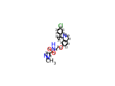 Cn1cc(S(=O)(=O)NCCOc2ccc3c(c2)C(C2(c4ccc(Cl)cc4)CC2)=NCC3)cn1